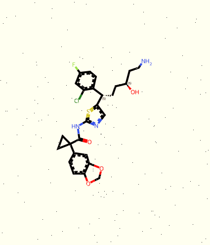 NCC[C@@H](O)CC[C@H](c1cnc(NC(=O)C2(c3ccc4c(c3)OCO4)CC2)s1)c1ccc(F)cc1Cl